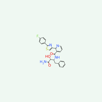 NC(=O)C(O)C(Cc1ccccc1)NC(=O)c1cccnc1-c1csc(-c2ccc(F)cc2)n1